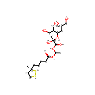 CC(=O)NC(CO)C(C[C@H](O)CO)O[C@@](C)(O)C(=O)OC(C)OC(=O)CCCC[C@]1(C)CCSS1